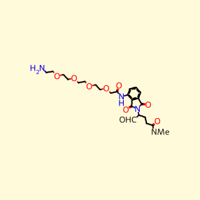 CNC(=O)CCC(C=O)N1C(=O)c2cccc(NC(=O)COCCOCCOCCOCCN)c2C1=O